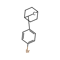 Brc1ccc(C2CC3CCC2CC3)cc1